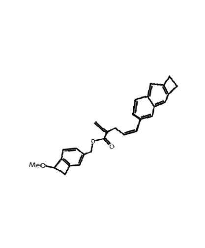 C=C(C/C=C\c1ccc2cc3c(cc2c1)CC3)C(=O)OCc1ccc2c(c1)CC2OC